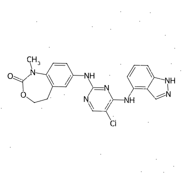 CN1C(=O)OCCc2cc(Nc3ncc(Cl)c(Nc4cccc5[nH]ncc45)n3)ccc21